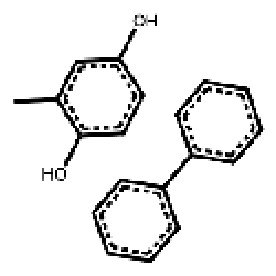 Cc1cc(O)ccc1O.c1ccc(-c2ccccc2)cc1